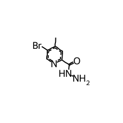 Cc1cc(C(=O)NN)ncc1Br